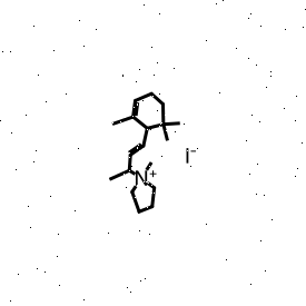 CC1=CCCC(C)(C)C1C=CC(C)[N+]1(C)CCCC1.[I-]